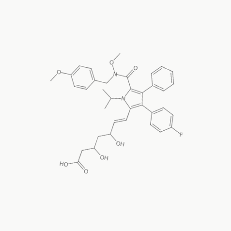 COc1ccc(CN(OC)C(=O)c2c(-c3ccccc3)c(-c3ccc(F)cc3)c(C=CC(O)CC(O)CC(=O)O)n2C(C)C)cc1